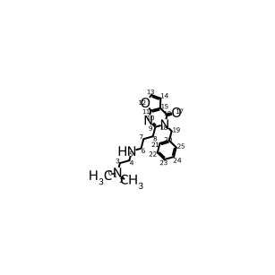 CN(C)CCNCCCc1nc2occc2c(=O)n1Cc1ccccc1